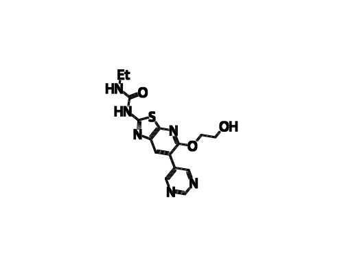 CCNC(=O)Nc1nc2cc(-c3cncnc3)c(OCCO)nc2s1